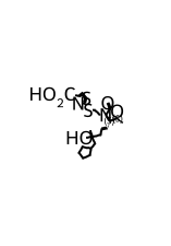 C[C@@H]1OC(=O)N(CCSc2nc(C(=O)O)cs2)[C@H]1C=CCC(C)(O)CC1CCCC1